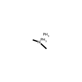 P.P.[CH3][Ni][CH3]